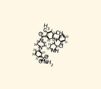 Cc1cc(C)c(N(c2ccccc2Cl)C2CCNCC2)cc1C(=O)N1CCN(c2cccc(S(N)(=O)=O)c2)CC1